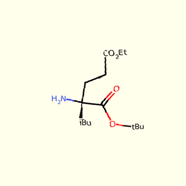 CCOC(=O)CC[C@@](N)(C(=O)OC(C)(C)C)C(C)CC